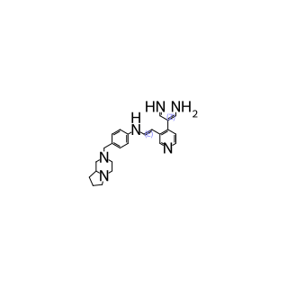 N=C/C(=C\N)c1ccncc1/C=C/Nc1ccc(CN2CCN3CCCC3C2)cc1